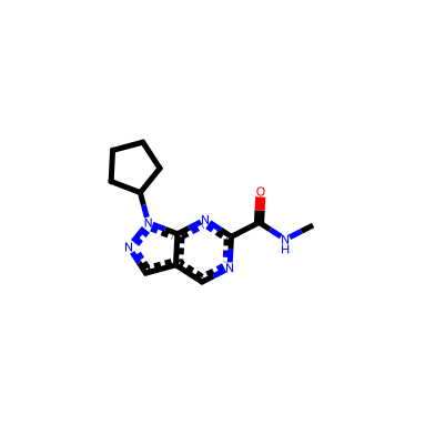 CNC(=O)c1ncc2cnn(C3CCCC3)c2n1